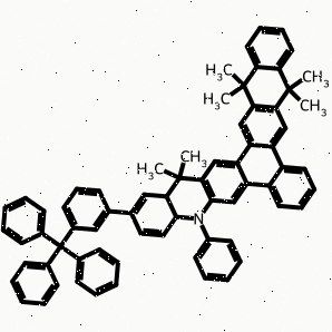 CC1(C)c2ccccc2C(C)(C)c2cc3c(cc21)c1ccccc1c1cc2c(cc13)C(C)(C)C1C=C(c3cccc(C(c4ccccc4)(c4ccccc4)c4ccccc4)c3)C=CC1N2c1ccccc1